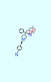 CCCC(CC(C#N)(c1ccccc1)C1CCN(C#Cc2ccc(C#N)cc2)CC1)OC(C)=O